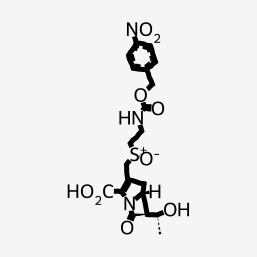 C[C@@H](O)[C@H]1C(=O)N2C(C(=O)O)=C(C[S+]([O-])CCNC(=O)OCc3ccc([N+](=O)[O-])cc3)C[C@H]12